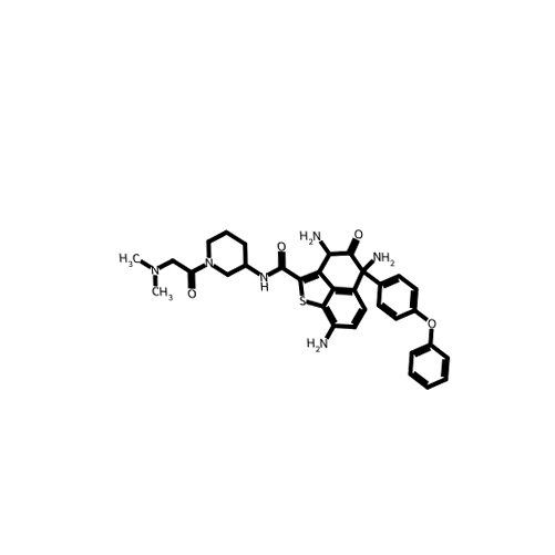 CN(C)CC(=O)N1CCCC(NC(=O)c2sc3c(N)ccc4c3c2C(N)C(=O)C4(N)c2ccc(Oc3ccccc3)cc2)C1